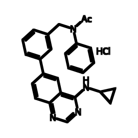 CC(=O)N(Cc1cccc(-c2ccc3ncnc(NC4CC4)c3c2)c1)c1ccccc1.Cl